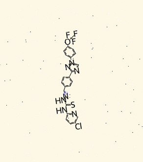 FC(F)(F)Oc1ccc(-n2cnc(-c3ccc(/C=N/NC(=S)Nc4ccc(Cl)cn4)cc3)n2)cc1